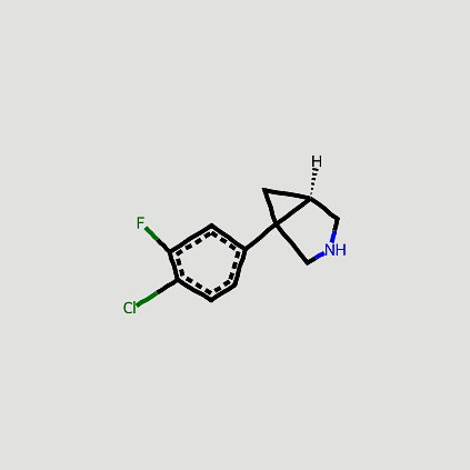 Fc1cc(C23CNC[C@@H]2C3)ccc1Cl